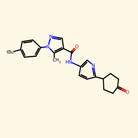 Cc1c(C(=O)Nc2ccc(C3CCC(=O)CC3)nc2)cnn1-c1ccc(C(C)(C)C)cc1